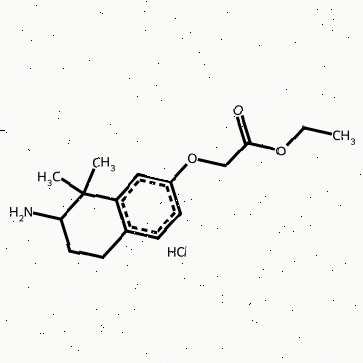 CCOC(=O)COc1ccc2c(c1)C(C)(C)C(N)CC2.Cl